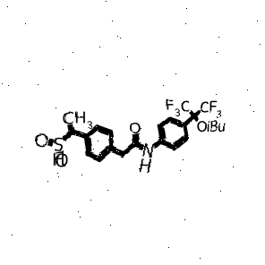 CC(C)COC(c1ccc(NC(=O)Cc2ccc(C(C)[SH](=O)=O)cc2)cc1)(C(F)(F)F)C(F)(F)F